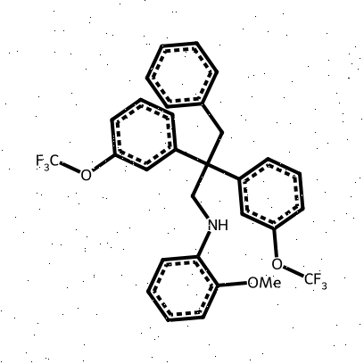 COc1ccccc1NCC(Cc1ccccc1)(c1cccc(OC(F)(F)F)c1)c1cccc(OC(F)(F)F)c1